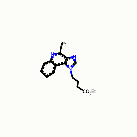 CCOC(=O)CCCn1cnc2c(C(C)C)nc3ccccc3c21